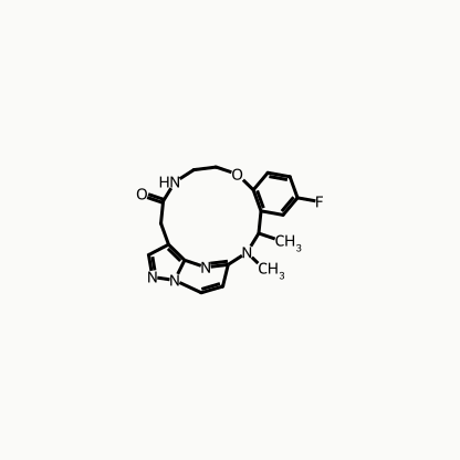 CC1c2cc(F)ccc2OCCNC(=O)Cc2cnn3ccc(nc23)N1C